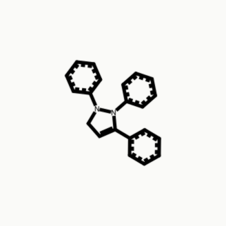 C1=C(c2ccccc2)N(c2ccccc2)N(c2ccccc2)C1